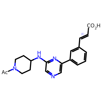 CC(=O)N1CCC(Nc2cncc(-c3cccc(/C=C/C(=O)O)c3)n2)CC1